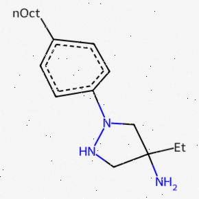 CCCCCCCCc1ccc(N2CC(N)(CC)CN2)cc1